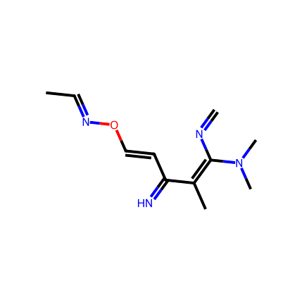 C=N/C(=C(/C)C(=N)/C=C/O/N=C/C)N(C)C